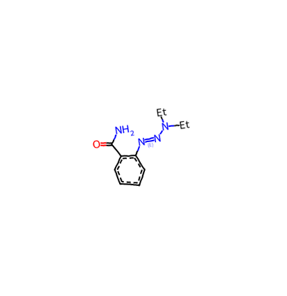 CCN(CC)/N=N/c1ccccc1C(N)=O